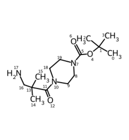 CC(C)(C)OC(=O)N1CCN(C(=O)C(C)(C)CN)CC1